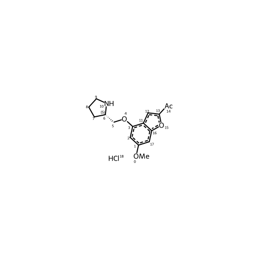 COc1cc(OC[C@@H]2CCCN2)c2cc(C(C)=O)oc2c1.Cl